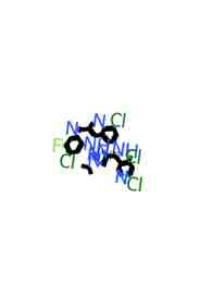 CC(C)n1cc([C@@H](Nc2cc(Cl)c3ncc(C#N)c(Nc4ccc(F)c(Cl)c4)c3c2)c2cnc(Cl)cc2Cl)nn1